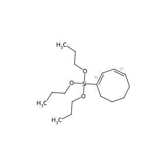 CCCO[Si](OCCC)(OCCC)/C1=C/C=C\CCCC1